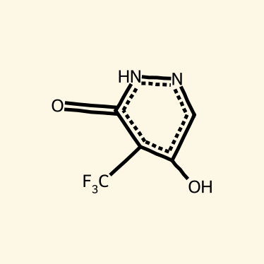 O=c1[nH]ncc(O)c1C(F)(F)F